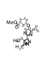 COC(=O)[C@H]1CCC[C@H](Oc2cnc(-c3nnn(C)c3CO)nc2C2CC2)C1